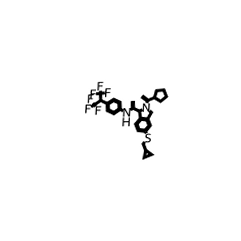 C=C(Nc1ccc(C(C(F)(F)F)C(F)(F)F)cc1)C1c2ccc(SCC3CC3)cc2CN1C(=C)C1CCCC1